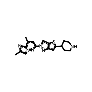 Cc1cn2nc(-n3cc4sc(C5CCNCC5)cc4n3)cc(C)c2n1